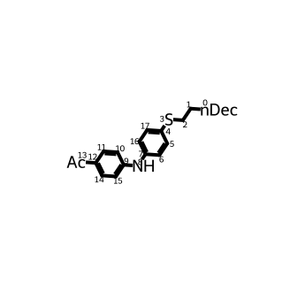 CCCCCCCCCCCCSc1ccc(Nc2ccc(C(C)=O)cc2)cc1